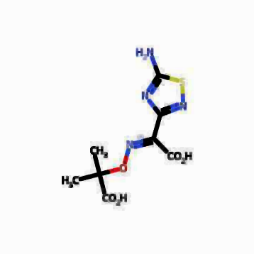 CC(C)(O/N=C(\C(=O)O)c1nsc(N)n1)C(=O)O